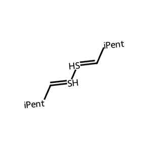 CCCC(C)C=[SH][SH]=CC(C)CCC